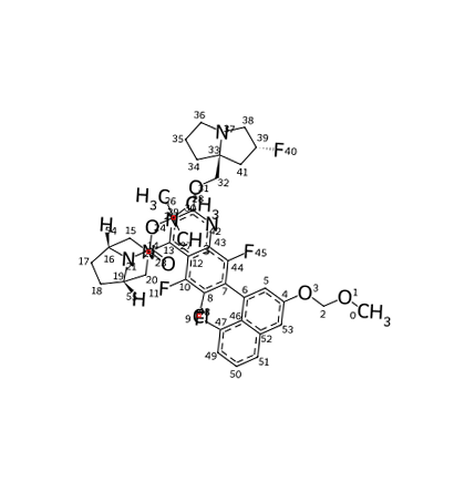 COCOc1cc(-c2c(Cl)c(F)c3c(N4C[C@H]5CC[C@@H](C4)N5C(=O)OC(C)(C)C)nc(OC[C@@]45CCCN4C[C@H](F)C5)nc3c2F)c2c(F)cccc2c1